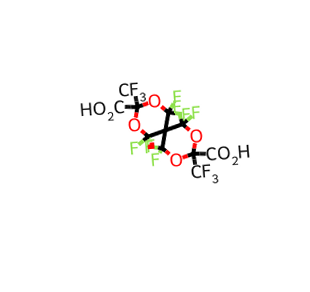 O=C(O)C1(C(F)(F)F)OC(F)(F)C2(C(F)(F)O1)C(F)(F)OC(C(=O)O)(C(F)(F)F)OC2(F)F